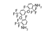 Nc1ccc(F)c(Oc2ccc(C(F)(F)F)c(Oc3c(F)ccc(N)c3C(F)(F)F)c2)c1C(F)(F)F